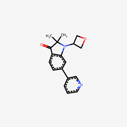 CC1(C)C(=O)c2ccc(-c3cccnc3)cc2N1C1COC1